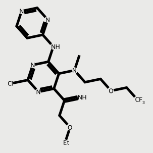 CCOCC(=N)c1nc(Cl)nc(Nc2ccncn2)c1N(C)CCOCC(F)(F)F